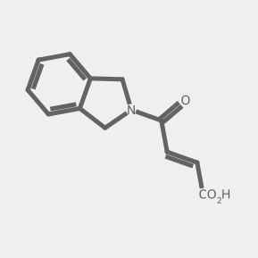 O=C(O)C=CC(=O)N1Cc2ccccc2C1